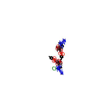 Cc1ccc(S(=O)(=O)OC[C@H]2O[C@@H](n3ccc4c(/N=C/N(C)C)nc(Cl)nc43)[C@@H]3OC(C)(CCc4ccc(S(=O)(=O)OC[C@H]5O[C@@H](n6ccc7c(/N=C/N(C)C)nc(C)nc76)[C@@H]6OC(C)(C)O[C@@H]65)cc4)O[C@@H]32)cc1